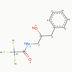 O=C(NCC(O)Cc1ccccc1)C(F)(F)F